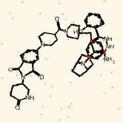 NC1=C(N2CC3CCC(C2)N3c2cccc(CC3CCN(C(=O)C4CCN(c5ccc6c(c5)C(=O)N(C5CCC(=O)NC5)C6=O)CC4)CC3)c2)C=C(c2ccccc2O)NN1